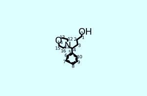 OCCCC(c1ccccc1)N1CCOCC1